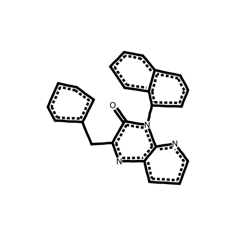 O=c1c(Cc2ccccc2)nc2cccnc2n1-c1cccc2ccccc12